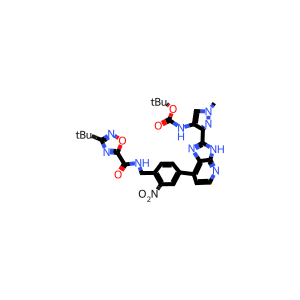 Cn1cc(NC(=O)OC(C)(C)C)c(-c2nc3c(-c4ccc(CNC(=O)c5nc(C(C)(C)C)no5)c([N+](=O)[O-])c4)ccnc3[nH]2)n1